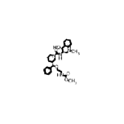 CNC[C@@H](NC(=O)N1CCC[C@@H](C(OCCNC(=O)OC)c2ccccc2)C1)[C@H](O)C1CCCCC1